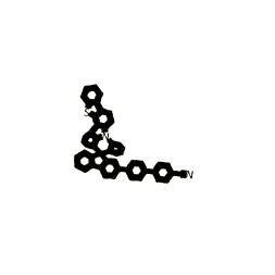 N#Cc1ccc(-c2ccc(-c3ccc4c(c3)C3(c5ccccc5-4)c4ccccc4-n4c5ccc6c7ccccc7sc6c5c5cccc3c54)cc2)cc1